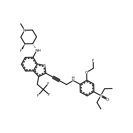 CCP(=O)(CC)c1ccc(NCC#Cc2sc3c(N[C@H]4CCN(C)C[C@@H]4F)cccc3c2CC(F)(F)F)c(OCF)c1